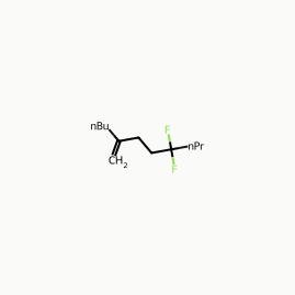 C=C(CCCC)CCC(F)(F)CCC